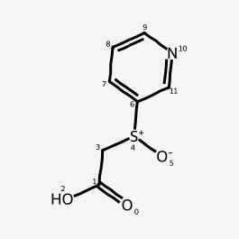 O=C(O)C[S+]([O-])c1cccnc1